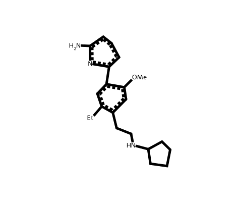 CCc1cc(-c2cccc(N)n2)c(OC)cc1CCNC1CCCC1